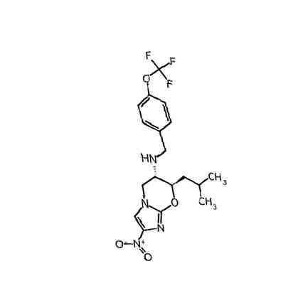 CC(C)C[C@H]1Oc2nc([N+](=O)[O-])cn2C[C@@H]1NCc1ccc(OC(F)(F)F)cc1